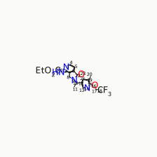 CCOC(=O)Nc1nccc2c1CN(C(C)c1cnc(OCC(F)(F)F)c(C)c1)C2=O